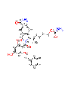 CC(C)(C)C(CCCCOC(N)=O)C1c2ccc(C(N)=O)cc2CN1C(=O)c1c(O)cc(O)cc1OCc1ccccc1